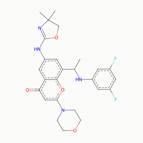 CC(Nc1cc(F)cc(F)c1)c1cc(NC2=NC(C)(C)CO2)cc2c(=O)cc(N3CCOCC3)oc12